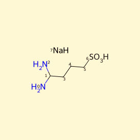 NC(N)CCCS(=O)(=O)O.[NaH]